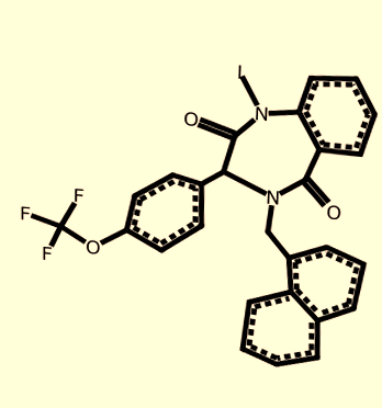 O=C1C(c2ccc(OC(F)(F)F)cc2)N(Cc2cccc3ccccc23)C(=O)c2ccccc2N1I